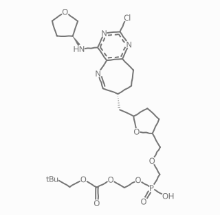 CC(C)(C)COC(=O)OCOP(=O)(O)COCC1CCC(C[C@@H]2C=Nc3c(nc(Cl)nc3N[C@H]3CCOC3)CC2)O1